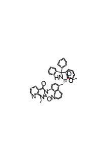 COC(=O)[C@H](Cc1ccc(-n2c(=O)c3cccnc3n(C)c2=O)c2ncccc12)NC(c1ccccc1)(c1ccccc1)c1ccccc1